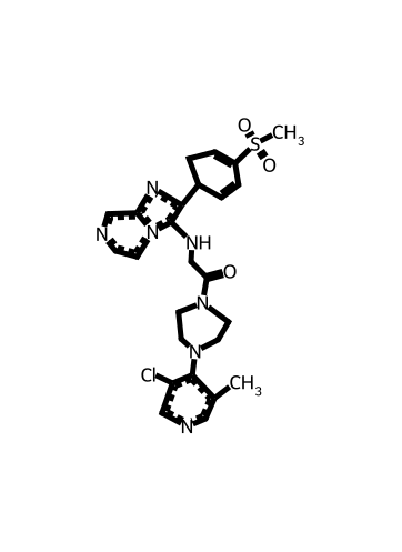 Cc1cncc(Cl)c1N1CCN(C(=O)CNc2c(C3C=CC(S(C)(=O)=O)=CC3)nc3cnccn23)CC1